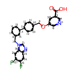 O=C(O)c1cncc(OCc2ccc(-c3cccc(Cn4cnc5cc(F)c(F)cc54)c3)cc2)c1